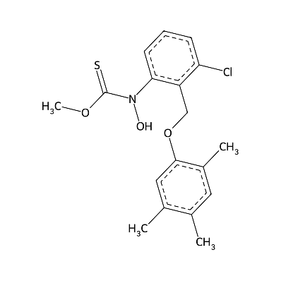 COC(=S)N(O)c1cccc(Cl)c1COc1cc(C)c(C)cc1C